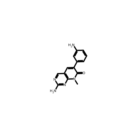 Cn1c(=O)c(-c2cccc(N)c2)cc2cnc(N)nc21